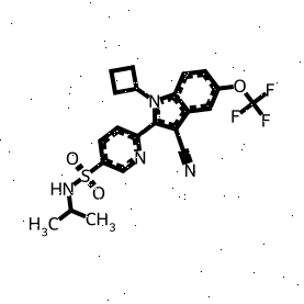 CC(C)NS(=O)(=O)c1ccc(-c2c(C#N)c3cc(OC(F)(F)F)ccc3n2C2CCC2)nc1